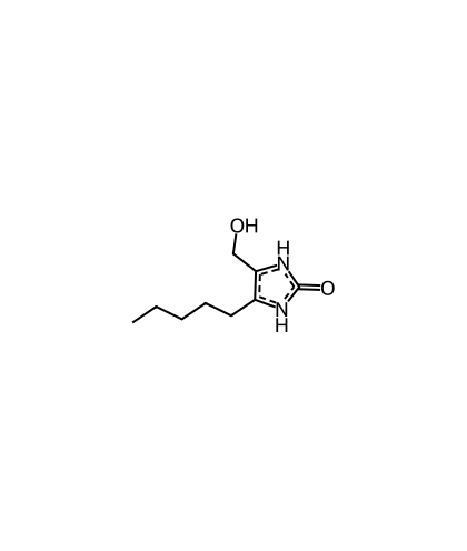 CCCCCc1[nH]c(=O)[nH]c1CO